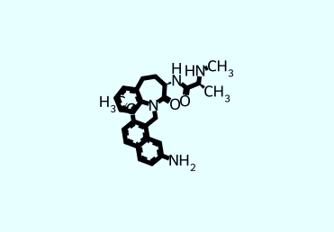 CN[C@@H](C)C(=O)N[C@H]1CCc2ccccc2N(Cc2c(OC)ccc3ccc(N)cc23)C1=O